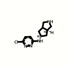 Clc1ccc(N[C@@H]2CC3CNC[C@H]3C2)nn1